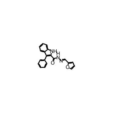 O=C(NN=Cc1ccco1)c1[nH]c2ccccc2c1-c1ccccc1